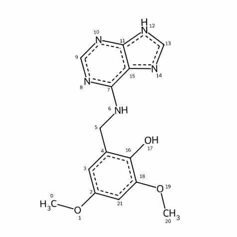 COc1cc(CNc2ncnc3[nH]cnc23)c(O)c(OC)c1